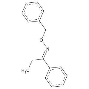 CC/C(=N\OCc1ccccc1)c1cc[c]cc1